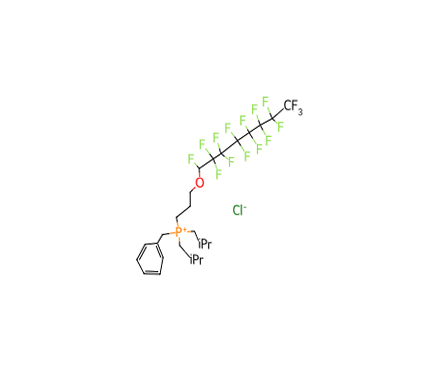 CC(C)C[P+](CCCOC(F)C(F)(F)C(F)(F)C(F)(F)C(F)(F)C(F)(F)C(F)(F)C(F)(F)F)(Cc1ccccc1)CC(C)C.[Cl-]